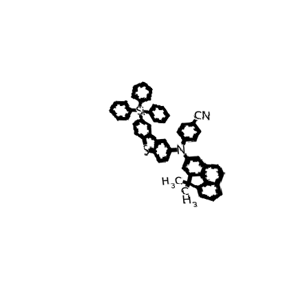 CC1(C)c2cccc3ccc4cc(N(c5ccc(C#N)cc5)c5ccc6sc7ccc([Si](c8ccccc8)(c8ccccc8)c8ccccc8)cc7c6c5)cc1c4c23